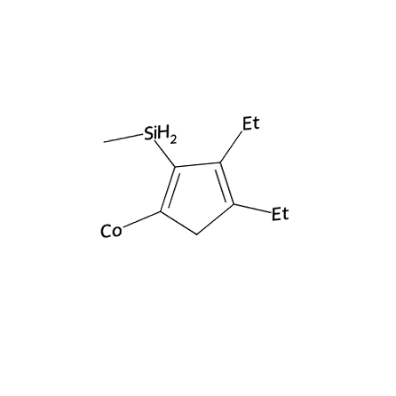 CCC1=C(CC)C([SiH2]C)=[C]([Co])C1